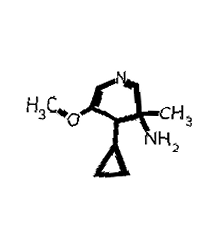 COC1=CN=CC(C)(N)C1C1CC1